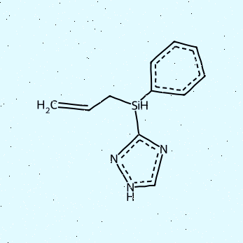 C=CC[SiH](c1ccccc1)c1nc[nH]n1